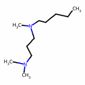 CCCCCN(C)CCCN(C)C